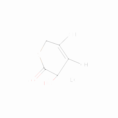 CC[C@]1(O)C(=O)SCC(C)=C1C